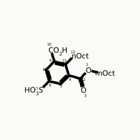 CCCCCCCCOC(=O)c1cc(S(=O)(=O)O)cc(C(=O)O)c1CCCCCCCC